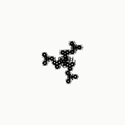 CC1(C)c2cc3c4cc(-c5cccc(-c6nc(-c7ccccc7)nc(-c7ccccc7)n6)c5)ccc4c4ccccc4c3cc2-c2c1c1c(c3c2C(C)(C)c2cc4c5cc(-c6cccc(-c7nc(-c8ccccc8)nc(-c8ccccc8)n7)c6)ccc5c5ccccc5c4cc2-3)C(C)(C)c2cc3c4cc(-c5cccc(-c6nc(-c7ccccc7)nc(-c7ccccc7)n6)c5)ccc4c4ccccc4c3cc2-1